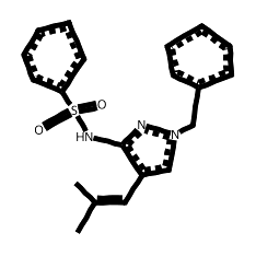 CC(C)=Cc1cn(Cc2ccccc2)nc1NS(=O)(=O)c1ccccc1